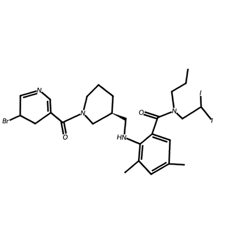 CCCN(CC(I)I)C(=O)c1cc(C)cc(C)c1NC[C@@H]1CCCN(C(=O)C2=CN=CC(Br)C2)C1